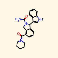 NC(=O)N1Cc2c(C(=O)N3CCCCC3)cccc2C1c1c[nH]c2ccccc12